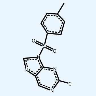 Cc1ccc(S(=O)(=O)n2cnc3cnc(Cl)nc32)cc1